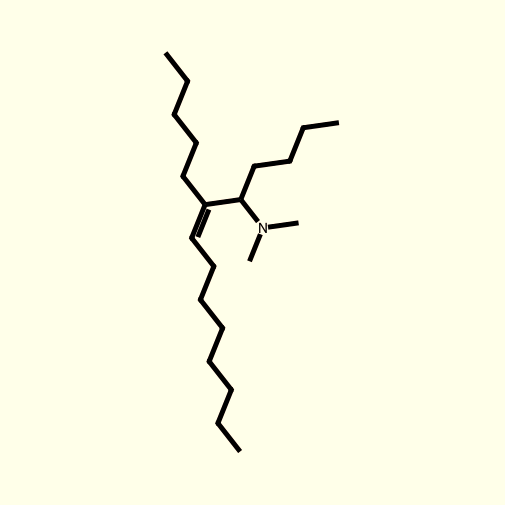 CCCCCCCC=C(CCCCC)C(CCCC)N(C)C